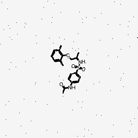 CC(=O)Nc1ccc(S(=O)(=O)NC(C)COc2c(C)cccc2C)cc1